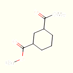 COC(=O)C1CCCC(C(=O)OC(C)(C)C)C1